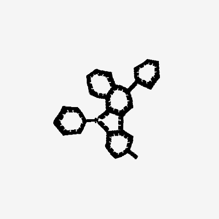 Cc1ccc2c(c1)c1cc(-c3ccccc3)c3ccccc3c1n2-c1ccccc1